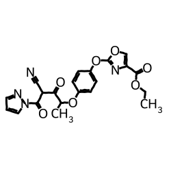 CCOC(=O)c1coc(Oc2ccc(OC(C)C(=O)C(C#N)C(=O)n3cccn3)cc2)n1